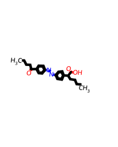 CCCCCC(C(=O)O)c1ccc(N=Nc2ccc(C(=O)CCCC)cc2)cc1